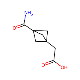 NC(=O)C12CC(CC(=O)O)(C1)C2